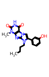 CCCCn1c(-c2cccc(O)c2)cn2c3c(=O)[nH]c(=O)n(C)c3nc12